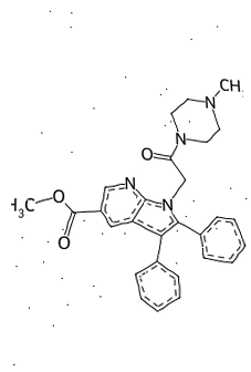 COC(=O)c1cnc2c(c1)c(-c1ccccc1)c(-c1ccccc1)n2CC(=O)N1CCN(C)CC1